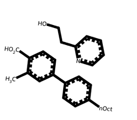 CCCCCCCCc1ccc(-c2ccc(C(=O)O)c(C)c2)cc1.OCCc1ccccn1